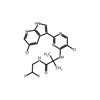 CC(C)(Nc1nc(-c2c[nH]c3ncc(Cl)cc23)ncc1Cl)C(=O)NCC(F)F